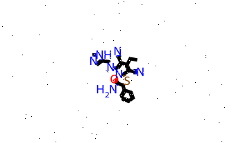 CCc1c(C#N)c(SC(C(N)=O)c2ccccc2)nc(N(C)Cc2cnc[nH]2)c1C#N